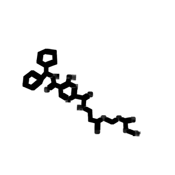 CC(C)OC(=O)OCOC(=O)CCNC(=O)c1ncc(C(=O)NC(c2ccccc2)c2ccccc2)c(O)n1